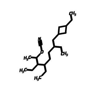 CCC(CCC(CC)C(CC)C(C)OC#N)CC1CC(CC)C1